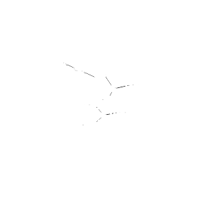 CCCCCCCCP(CCCCCCCC)CCCCCCCC.CCCCCCCCP(CCCCCCCC)CCCCCCCC.O=[N+]([O-])[O-].O=[N+]([O-])[O-].[Pd+2]